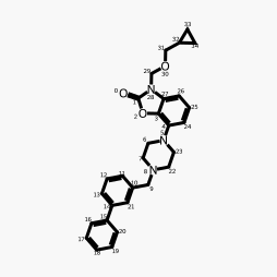 O=c1oc2c(N3CCN(Cc4cccc(-c5ccccc5)c4)CC3)cccc2n1COCC1CC1